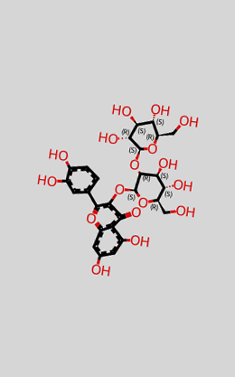 O=c1c(O[C@@H]2O[C@H](CO)[C@@H](O)[C@H](O)[C@H]2O[C@@H]2O[C@H](CO)[C@@H](O)[C@H](O)[C@H]2O)c(-c2ccc(O)c(O)c2)oc2cc(O)cc(O)c12